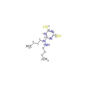 CCCCNN(CCCC)c1nc(S)nc(S)n1